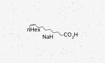 CCCCCC/C=C\CCCCCCCC(=O)O.[NaH]